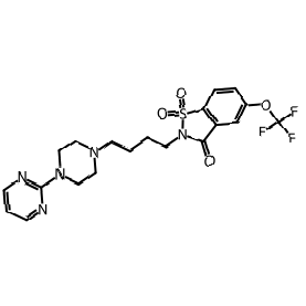 O=C1c2cc(OC(F)(F)F)ccc2S(=O)(=O)N1CCCCN1CCN(c2ncccn2)CC1